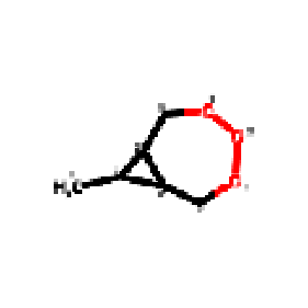 CC1C2COOOCC12